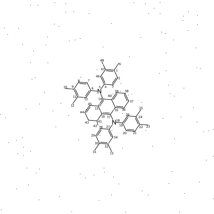 Cc1ccc(N(c2ccc(C)c(C)c2)c2c3c(c(N(c4ccc(C)c(C)c4)c4ccc(C)c(C)c4)c4ccccc24)C(C)CC=C3)cc1C